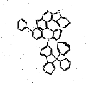 C1#CCC=C(C2(c3ccccc3)c3ccccc3-c3ccc(N(C4=CC=C(c5ccccc5)CC4)c4ccccc4-c4cccc5ccc6sc7ccccc7c6c45)cc32)C=C1